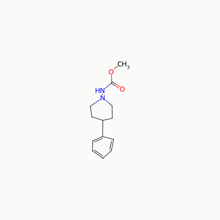 COC(=O)NN1CCC(c2ccccc2)CC1